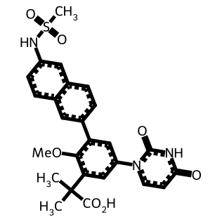 COc1c(-c2ccc3cc(NS(C)(=O)=O)ccc3c2)cc(-n2ccc(=O)[nH]c2=O)cc1C(C)(C)C(=O)O